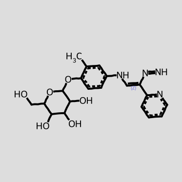 Cc1cc(N/C=C(\N=N)c2ccccn2)ccc1OC1OC(CO)C(O)C(O)C1O